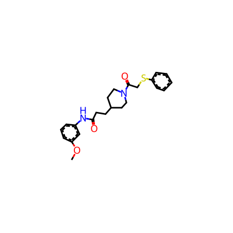 COc1cccc(NC(=O)CCC2CCN(C(=O)CSc3ccccc3)CC2)c1